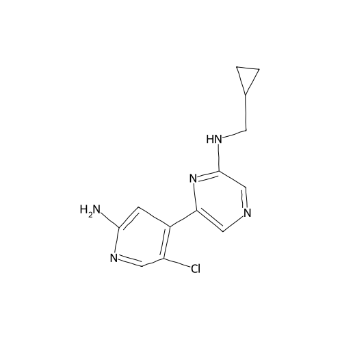 Nc1cc(-c2cncc(NCC3CC3)n2)c(Cl)cn1